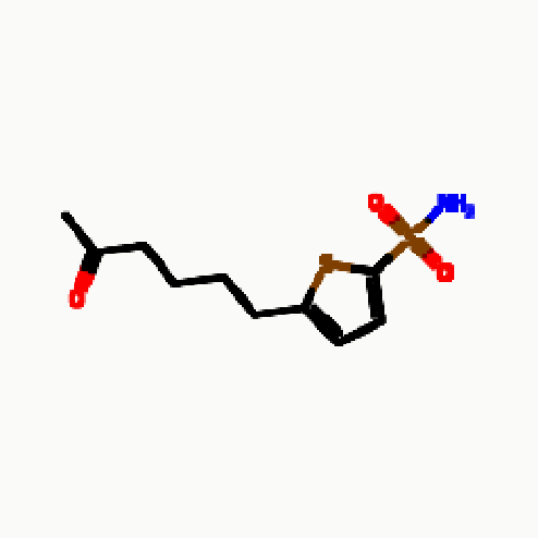 CC(=O)CCCCc1ccc(S(N)(=O)=O)s1